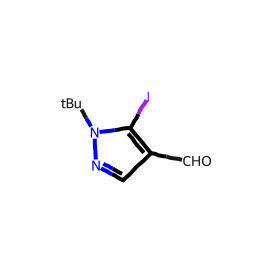 CC(C)(C)n1ncc(C=O)c1I